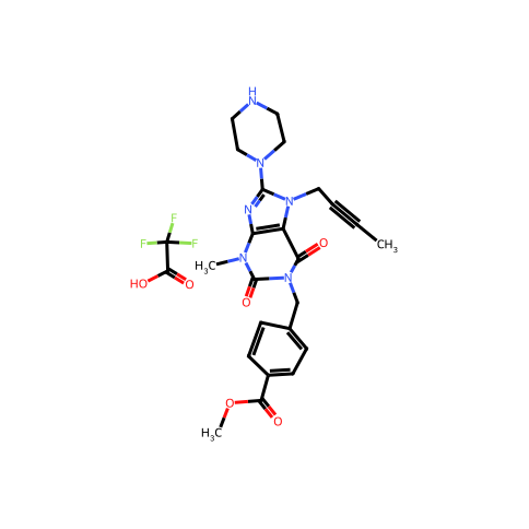 CC#CCn1c(N2CCNCC2)nc2c1c(=O)n(Cc1ccc(C(=O)OC)cc1)c(=O)n2C.O=C(O)C(F)(F)F